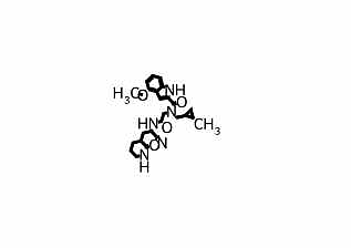 COc1cccc2[nH]c(C(=O)N(CC(=O)NC(C#N)CC3CCCNC3=O)CC3CC3C)cc12